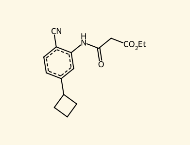 CCOC(=O)CC(=O)Nc1cc(C2CCC2)ccc1C#N